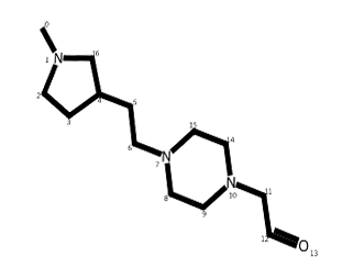 CN1CCC(CCN2CCN(CC=O)CC2)C1